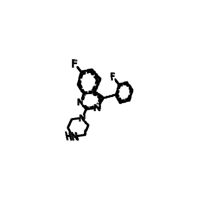 Fc1ccc2c(-c3ccccc3F)nc(N3CCNCC3)nc2c1